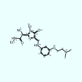 CCNC(=O)C(C#N)=c1sc(=CNc2cccc(OCCN(C)C)c2)c(=O)n1CC